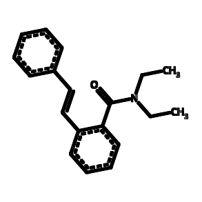 CCN(CC)C(=O)c1ccccc1C=Cc1ccccc1